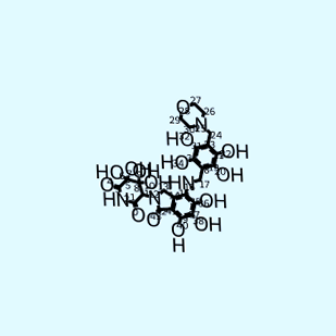 O=C1NC(=O)C(O)(O)C(O)(O)C1N1Cc2c(NCc3c(O)c(O)c(CN4CCOCC4)c(O)c3O)c(O)c(O)c(O)c2C1=O